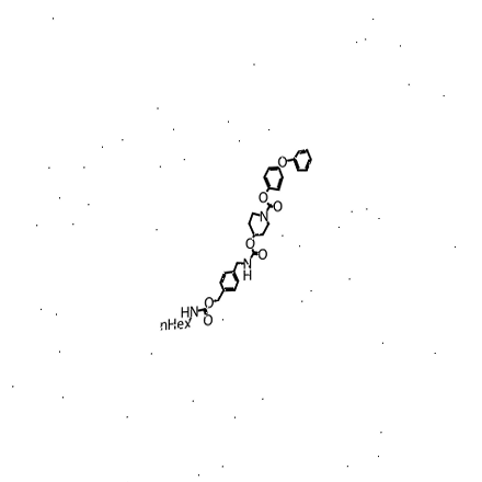 CCCCCCNC(=O)OCc1ccc(CNC(=O)OC2CCN(C(=O)Oc3ccc(Oc4ccccc4)cc3)CC2)cc1